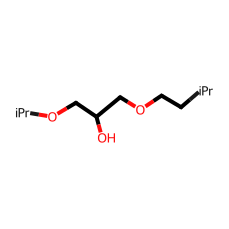 CC(C)CCOCC(O)COC(C)C